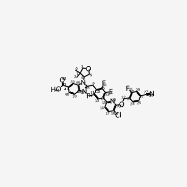 CC1(C)COCC1n1c(Cc2c(F)cc(-c3ccc(Cl)c(OCc4ccc(C#N)cc4F)n3)c(F)c2F)nc2ccc(C(=O)O)cc21